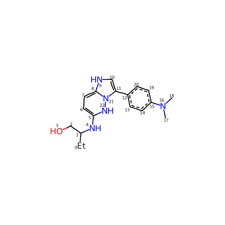 CCC(CO)NC1=CC=C2NC=C(c3ccc(N(C)C)cc3)N2N1